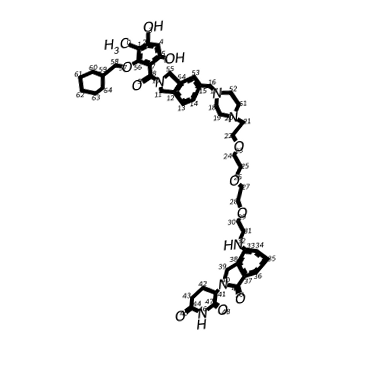 Cc1c(O)cc(O)c(C(=O)N2Cc3ccc(CN4CCN(CCOCCOCCOCCNc5cccc6c5CN(C5CCC(=O)NC5=O)C6=O)CC4)cc3C2)c1OCC1CCCCC1